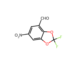 O=Cc1cc([N+](=O)[O-])cc2c1OC(F)(F)O2